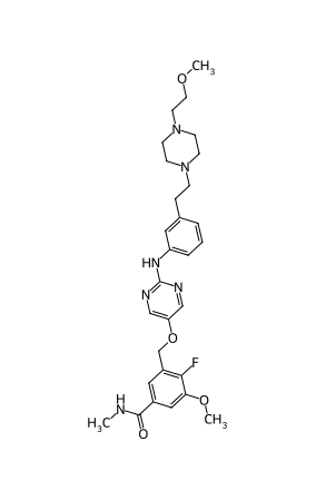 CNC(=O)c1cc(COc2cnc(Nc3cccc(CCN4CCN(CCOC)CC4)c3)nc2)c(F)c(OC)c1